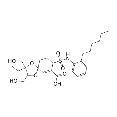 CCCCCCc1ccccc1NS(=O)(=O)C1CCC2(C=C1C(=O)O)OC(CO)C(CC)(CO)O2